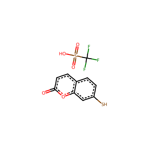 O=S(=O)(O)C(F)(F)F.O=c1ccc2ccc(S)cc2o1